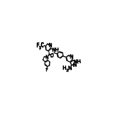 Nc1n[nH]c2ncc(-c3ccc(CNc4ncc(C(F)(F)F)cc4C(=O)N4CCc5cc(F)ccc54)cc3)cc12